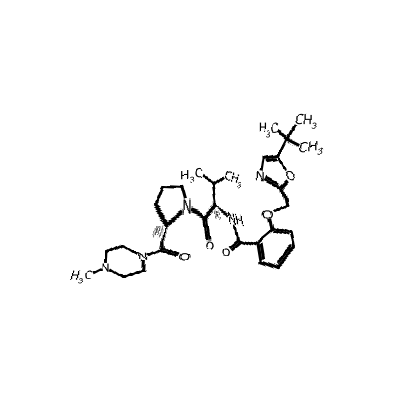 CC(C)[C@@H](NC(=O)c1ccccc1OCc1ncc(C(C)(C)C)o1)C(=O)N1CCC[C@@H]1C(=O)N1CCN(C)CC1